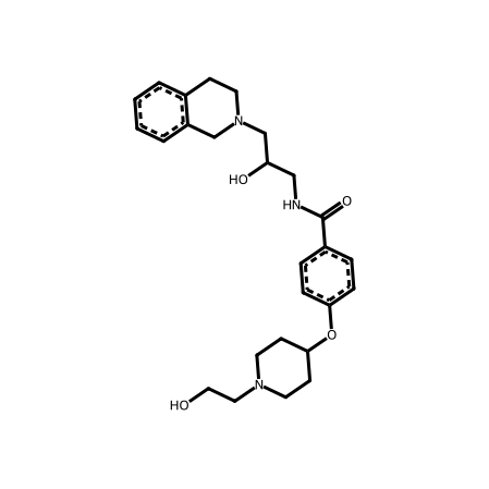 O=C(NCC(O)CN1CCc2ccccc2C1)c1ccc(OC2CCN(CCO)CC2)cc1